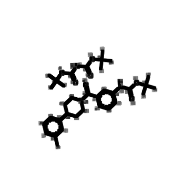 CC(C)(C)OC(=O)NC(=O)OC(C)(C)C.Cc1cccc(C2CCN(C(=O)c3cccc(NC(=O)OC(C)(C)C)c3)CC2)c1